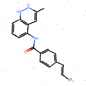 CC1=Cc2c(cccc2NC(=O)c2ccc(/C=C/C(F)(F)F)cc2)NN1